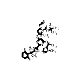 C[C@H](Oc1cc(O[C@@H]2C[C@@H](CC#N)N(C(=O)OC(C)(C)C)[C@@H]2C)nc(-c2noc(C(C)(C)c3c(F)cccc3F)n2)n1)[C@@H]1C[C@@H](F)CN1C